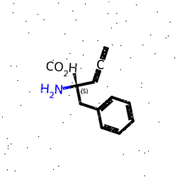 C=C=C[C@@](N)(Cc1ccccc1)C(=O)O